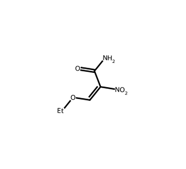 CCOC=C(C(N)=O)[N+](=O)[O-]